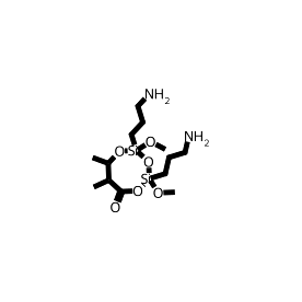 CO[Si]1(CCCN)OC(=O)C(C)C(C)O[Si](CCCN)(OC)O1